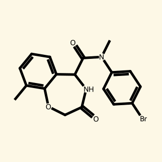 Cc1cccc2c1OCC(=O)NC2C(=O)N(C)c1ccc(Br)cc1